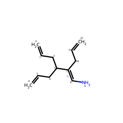 C=CC[C](CC=C)/C(=C/N)CC=C